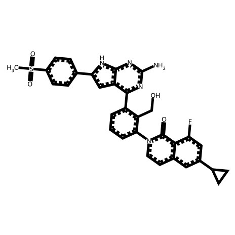 CS(=O)(=O)c1ccc(-c2cc3c(-c4cccc(-n5ccc6cc(C7CC7)cc(F)c6c5=O)c4CO)nc(N)nc3[nH]2)cc1